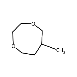 CC1CCOCCOC1